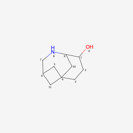 OC1CCC23CC(CNC1C2)C3